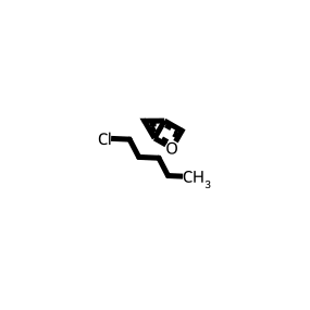 CCCCCCl.c1oc2cc1-2